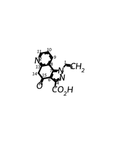 C=Cn1nc(C(=O)O)c2c1-c1cccnc1CC2=O